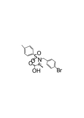 Cc1ccc(S(=O)(=O)N(Cc2ccc(Br)cc2)[C@@H](C)C(=O)O)cc1